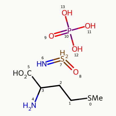 CSCCC(N)C(=O)O.N=[SH2]=O.O=P(O)(O)O